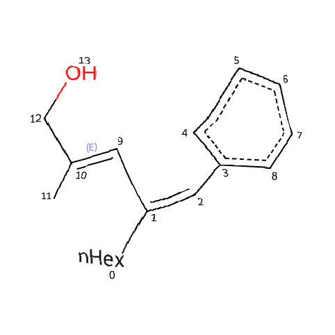 CCCCCCC(=Cc1ccccc1)/C=C(\C)CO